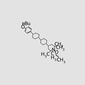 C/C=C/ON1C(C)(C)CC(C2CCC(C3CCC(c4ccc(OCCCC)cc4)CC3)CC2)CC1(C)C